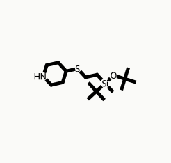 CC(C)(C)O[Si](C)(CCSC1CCNCC1)C(C)(C)C